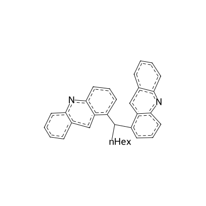 CCCCCCC(c1cccc2nc3ccccc3cc12)c1cccc2nc3ccccc3cc12